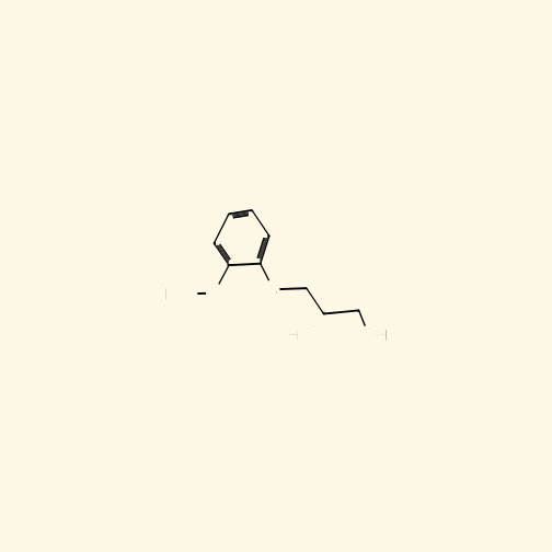 COc1ccccc1SC[C@@H](O)CO